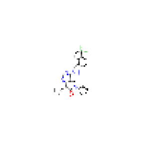 Cc1c(=O)n(C23CCC(CC2)C3)cc2c(NCc3cccc4c3CCC4(F)F)ncnc12